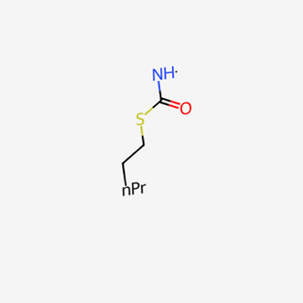 CCCCCSC([NH])=O